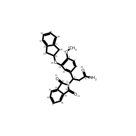 COc1ccc(C(CC(N)=O)N2C(=O)c3ccccc3C2=O)cc1OC1Cc2ccccc2C1